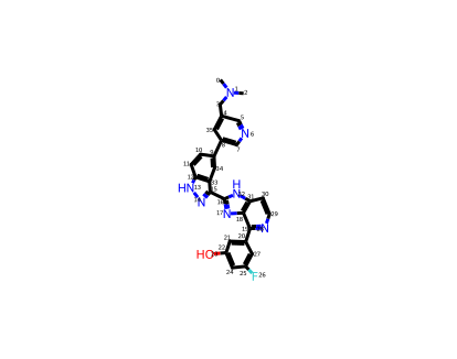 CN(C)Cc1cncc(-c2ccc3[nH]nc(-c4nc5c(-c6cc(O)cc(F)c6)nccc5[nH]4)c3c2)c1